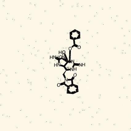 N=C1NC2[C@H](CN3C(=O)c4ccccc4C3=O)NC(=N)N3CC(OC(=O)c4ccccc4)C(O)(O)C23N1